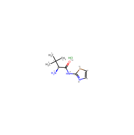 CC(C)(C)[C@H](N)C(=O)Nc1nccs1.Cl